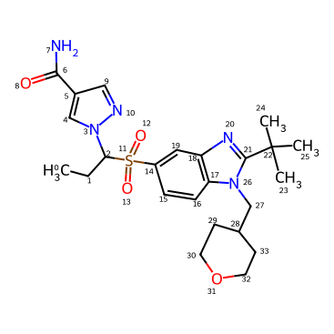 CCC(n1cc(C(N)=O)cn1)S(=O)(=O)c1ccc2c(c1)nc(C(C)(C)C)n2CC1CCOCC1